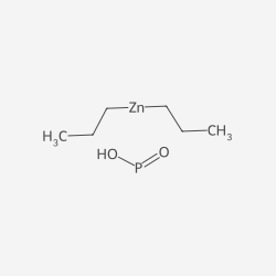 CC[CH2][Zn][CH2]CC.O=PO